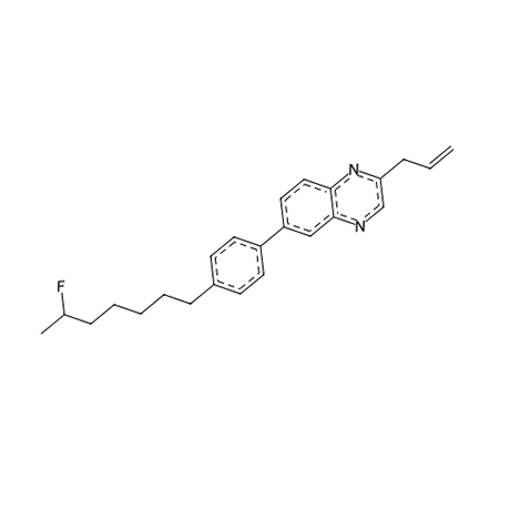 C=CCc1cnc2cc(-c3ccc(CCCCCC(C)F)cc3)ccc2n1